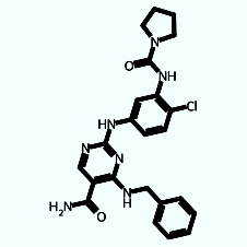 NC(=O)c1cnc(Nc2ccc(Cl)c(NC(=O)N3CCCC3)c2)nc1NCc1ccccc1